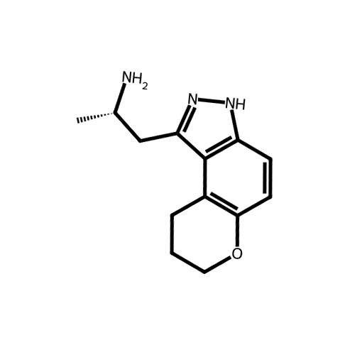 C[C@H](N)Cc1n[nH]c2ccc3c(c12)CCCO3